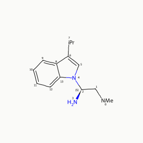 CNC[C@@H](N)n1cc(C(C)C)c2ccccc21